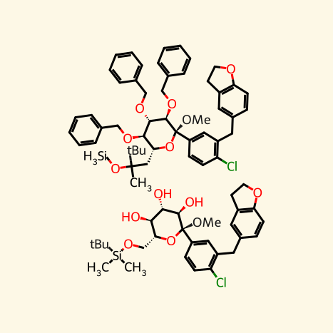 CO[C@@]1(c2ccc(Cl)c(Cc3ccc4c(c3)CCO4)c2)O[C@H](CC(C)(O[SiH3])C(C)(C)C)[C@@H](OCc2ccccc2)[C@H](OCc2ccccc2)[C@H]1OCc1ccccc1.CO[C@@]1(c2ccc(Cl)c(Cc3ccc4c(c3)CCO4)c2)O[C@H](CO[Si](C)(C)C(C)(C)C)[C@@H](O)[C@H](O)[C@H]1O